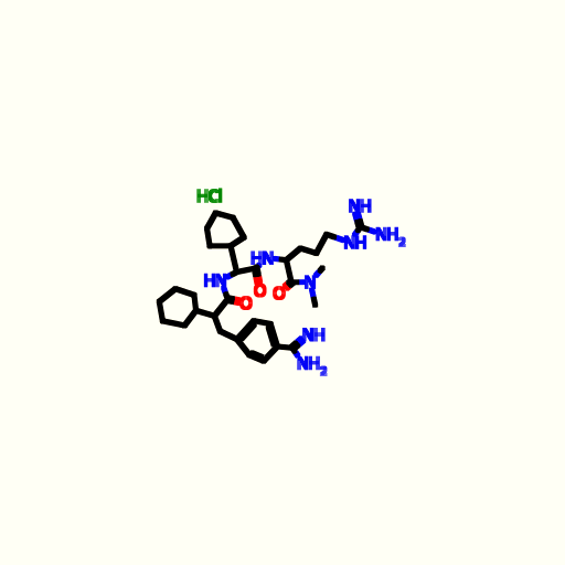 CN(C)C(=O)C(CCCNC(=N)N)NC(=O)C(NC(=O)C(Cc1ccc(C(=N)N)cc1)C1CCCCC1)C1CCCCC1.Cl